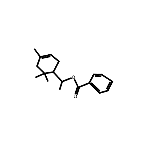 CC1=CCC(C(C)OC(=O)c2ccccc2)C(C)(C)C1